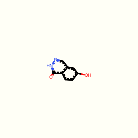 O=c1[nH]ncc2cc(O)ccc12